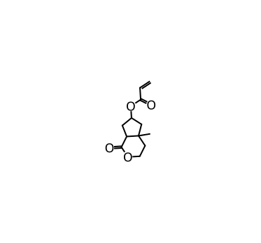 C=CC(=O)OC1CC2C(=O)OCCC2(C)C1